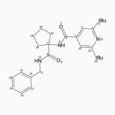 CC(C)(C)c1cc(C(=O)NC2(C(=O)NCc3ccccc3)CCCC2)cc(C(C)(C)C)n1